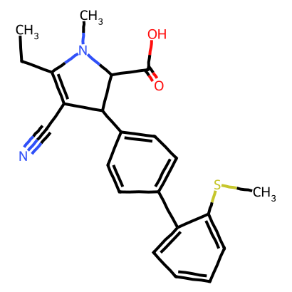 CCC1=C(C#N)C(c2ccc(-c3ccccc3SC)cc2)C(C(=O)O)N1C